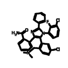 CN(C)Cc1ccc(Cl)cc1-c1c(-c2ccccc2C(N)=O)nc(-c2ccccc2)n1-c1cccc(Cl)c1F